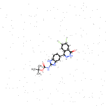 CC(C)(C)OC(=O)Nc1nc2cc(-c3n[nH]c(=O)c4cc(F)c(F)cc34)ccc2[nH]1